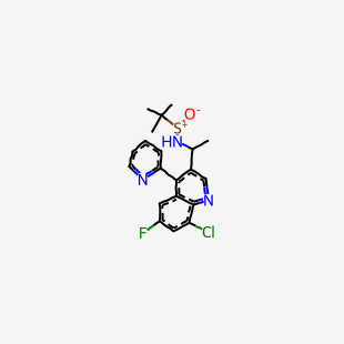 CC(N[S+]([O-])C(C)(C)C)c1cnc2c(Cl)cc(F)cc2c1-c1ccccn1